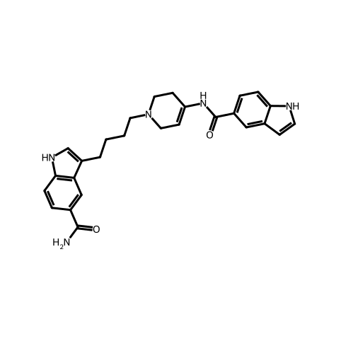 NC(=O)c1ccc2[nH]cc(CCCCN3CC=C(NC(=O)c4ccc5[nH]ccc5c4)CC3)c2c1